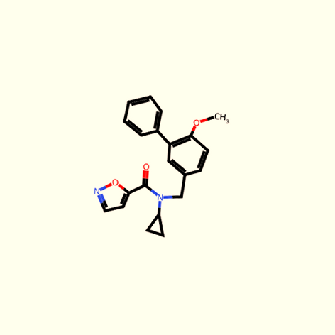 COc1ccc(CN(C(=O)c2ccno2)C2CC2)cc1-c1ccccc1